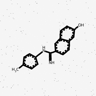 Cc1ccc(NC(=N)c2ccc3cc(O)ccc3c2)cc1